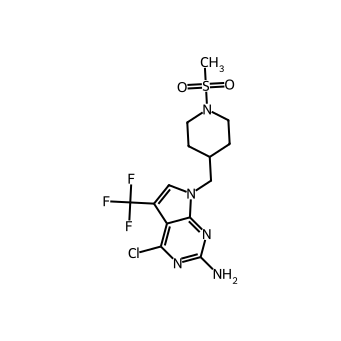 CS(=O)(=O)N1CCC(Cn2cc(C(F)(F)F)c3c(Cl)nc(N)nc32)CC1